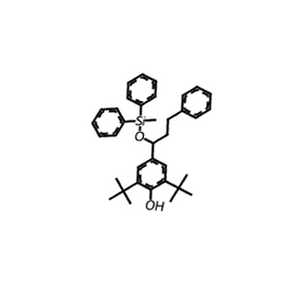 CC(C)(C)c1cc(C(CCc2ccccc2)O[Si](C)(c2ccccc2)c2ccccc2)cc(C(C)(C)C)c1O